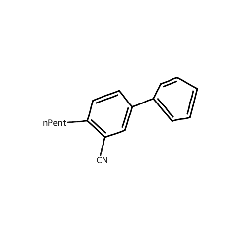 CCCCCc1ccc(-c2ccccc2)cc1C#N